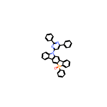 O=P1(c2ccccc2)c2ccccc2-c2cc3c(cc21)c1ccccc1n3-c1cc(-c2ccccc2)nc(-c2ccccc2)n1